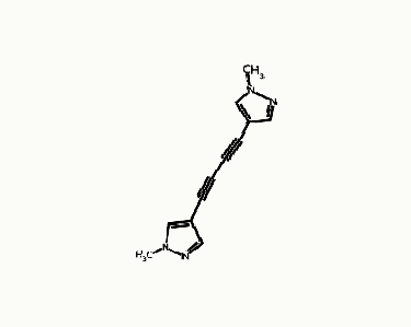 Cn1cc(C#CC#Cc2cnn(C)c2)cn1